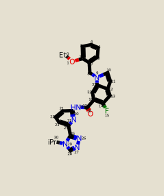 CCOc1ccccc1Cn1ccc2cc(F)c(C(=O)Nc3cccc(-c4nncn4C(C)C)n3)cc21